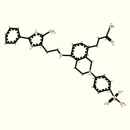 Cc1oc(-c2ccccc2)nc1CCOc1ccc(CCC(=O)O)c2c1CCN(c1ccc(S(C)(=O)=O)cc1)C2